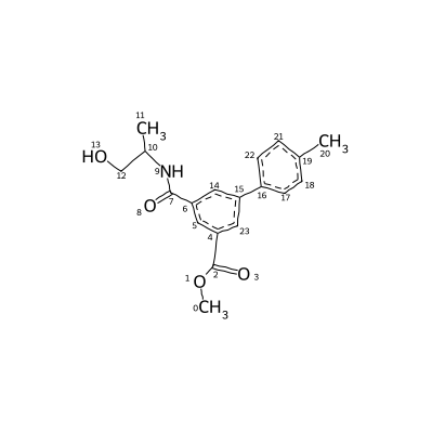 COC(=O)c1cc(C(=O)NC(C)CO)cc(-c2ccc(C)cc2)c1